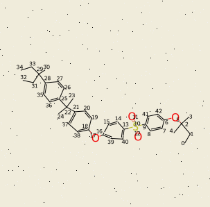 CCC(C)(C)Oc1ccc(S(=O)(=O)c2ccc(Oc3ccc(C(C)(C)c4ccc(C(C)(CC)CC)cc4)cc3)cc2)cc1